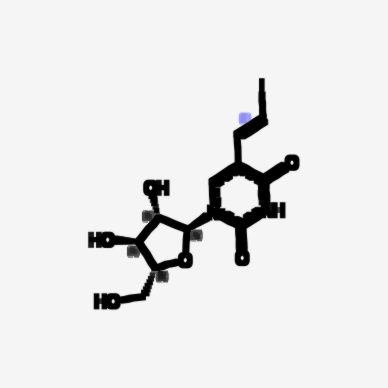 O=c1[nH]c(=O)n([C@H]2O[C@H](CO)[C@@H](O)[C@@H]2O)cc1/C=C/I